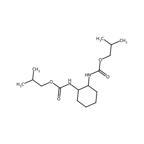 CC(C)COC(=O)NC1CCCCC1NC(=O)OCC(C)C